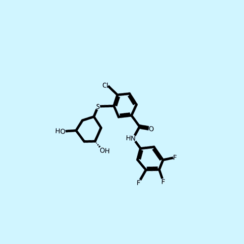 O=C(Nc1cc(F)c(F)c(F)c1)c1ccc(Cl)c(SC2CC(O)C[C@@H](O)C2)c1